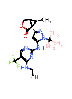 BC(B)(B)n1nc([C@]23C(=O)OCC2[C@H]3C)cc1Nc1ncc(C(F)(F)F)c(NCC)n1